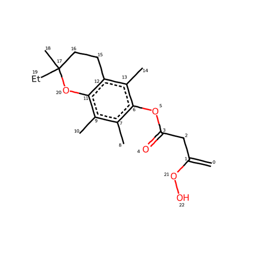 C=C(CC(=O)Oc1c(C)c(C)c2c(c1C)CCC(C)(CC)O2)OO